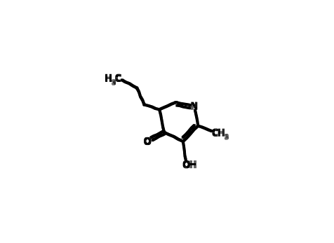 CCCC1C=NC(C)=C(O)C1=O